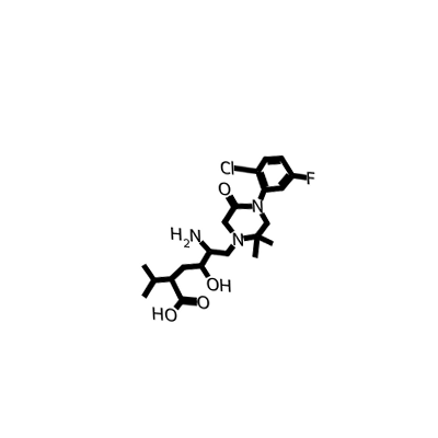 CC(C)C(CC(O)C(N)CN1CC(=O)N(c2cc(F)ccc2Cl)CC1(C)C)C(=O)O